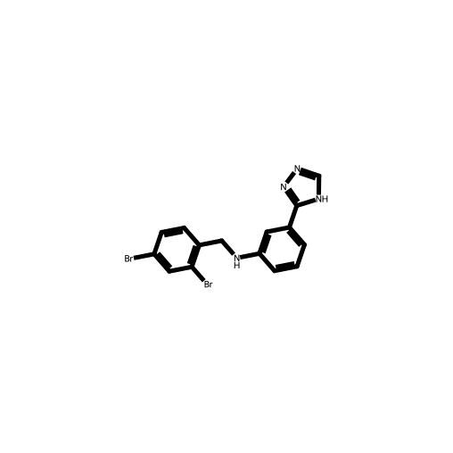 Brc1ccc(CNc2cccc(-c3nnc[nH]3)c2)c(Br)c1